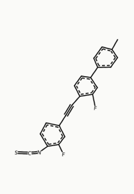 Cc1ccc(-c2ccc(C#Cc3ccc(N=C=S)c(F)c3)c(F)c2)cc1